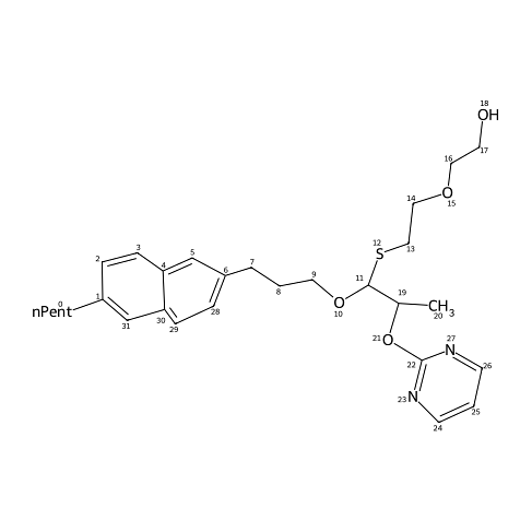 CCCCCc1ccc2cc(CCCOC(SCCOCCO)C(C)Oc3ncccn3)ccc2c1